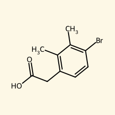 Cc1c(Br)ccc(CC(=O)O)c1C